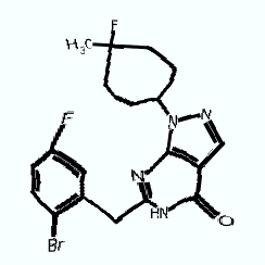 CC1(F)CCC(n2ncc3c(=O)[nH]c(Cc4cc(F)ccc4Br)nc32)CC1